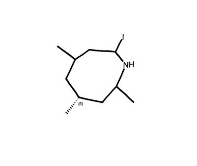 CC1CC(I)NC(C)C[C@H](C)C1